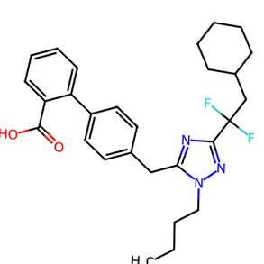 CCCCn1nc(C(F)(F)CC2CCCCC2)nc1Cc1ccc(-c2ccccc2C(=O)O)cc1